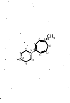 CC1=CC=C(N2CCNCC2)C=CC1